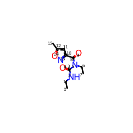 CCNC(=O)N(CC)C(=O)c1cc(C)on1